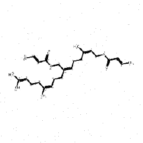 C/C=C/C(=O)OCC=C(C)CCC=C(CCC=C(C)CCC=C(C)C)COC(=O)/C=C/C